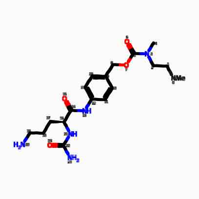 CNCCN(C)C(=O)OCc1ccc(NC(=O)[C@H](CCCN)NC(N)=O)cc1